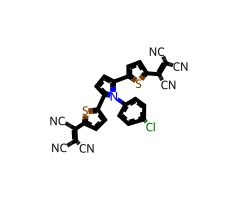 N#CC(C#N)=C(C#N)c1ccc(-c2ccc(-c3ccc(C(C#N)=C(C#N)C#N)s3)n2-c2ccc(Cl)cc2)s1